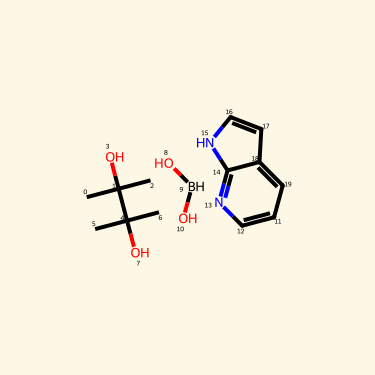 CC(C)(O)C(C)(C)O.OBO.c1cnc2[nH]ccc2c1